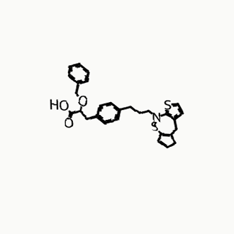 O=C(O)C(Cc1ccc(CCCN2SC3=C(CC=C3)Cc3ccsc32)cc1)OCc1ccccc1